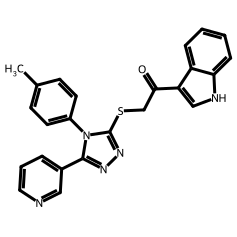 Cc1ccc(-n2c(SCC(=O)c3c[nH]c4ccccc34)nnc2-c2cccnc2)cc1